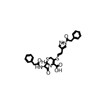 O=C(Cc1ccccc1)N[C@@H]1C(=O)N2C(C(=O)O)=C(S/C=C/c3cnn(C(=O)Cc4ccccc4)c3)CS[C@@H]12